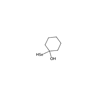 OC1([SeH])CCCCC1